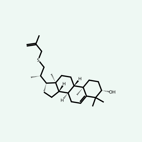 C=C(C)CSC[C@@H](C)[C@H]1CC[C@H]2[C@@H]3CC=C4C(C)(C)[C@@H](O)CC[C@]4(C)[C@H]3CC[C@]12C